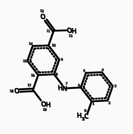 Cc1ccccc1Nc1cc(C(=O)O)ccc1C(=O)O